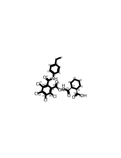 CCc1ccc(NC(=O)c2c(Cl)c(Cl)c(Cl)c(Cl)c2C(=O)O)cc1.O=C(O)[C@H]1CCCC[C@H]1C(=O)O